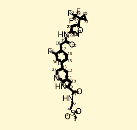 CS(=O)(=O)CCNC(=O)c1cc2cc(-c3ccc(CC(=O)Nc4cc(C5(C(F)(F)F)CC5)on4)c(F)c3)cnc2[nH]1